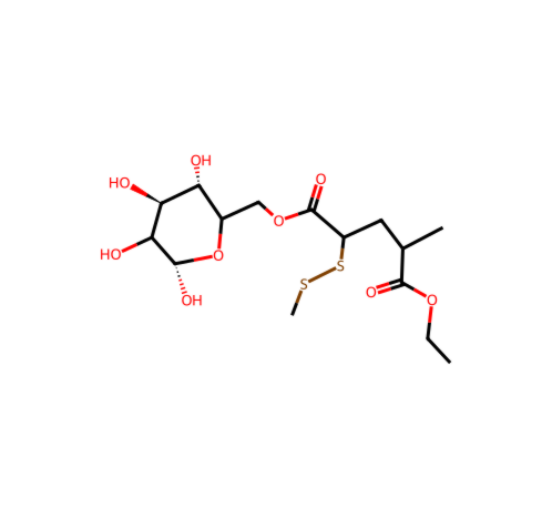 CCOC(=O)C(C)CC(SSC)C(=O)OCC1O[C@H](O)C(O)[C@@H](O)[C@@H]1O